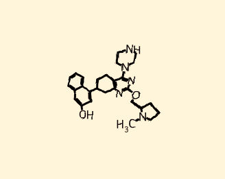 CN1CCCC1COc1nc2c(c(N3CCNCC3)n1)CCC(c1cc(O)cc3ccccc13)C2